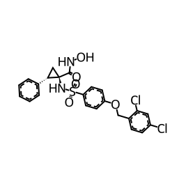 O=C(NO)[C@@]1(NS(=O)(=O)c2ccc(OCc3ccc(Cl)cc3Cl)cc2)C[C@H]1c1ccccc1